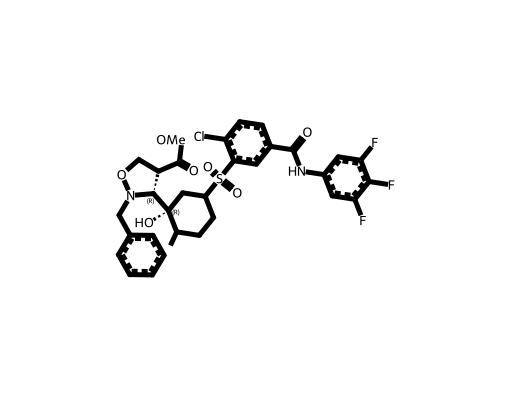 COC(=O)C1CON(Cc2ccccc2)[C@H]1[C@@]1(O)CC(S(=O)(=O)c2cc(C(=O)Nc3cc(F)c(F)c(F)c3)ccc2Cl)CCC1C